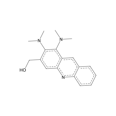 CN(C)c1c(CO)cc2nc3ccccc3cc2c1N(C)C